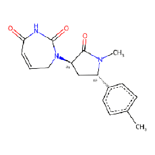 Cc1ccc([C@@H]2C[C@@H](N3CC=CC(=O)NC3=O)C(=O)N2C)cc1